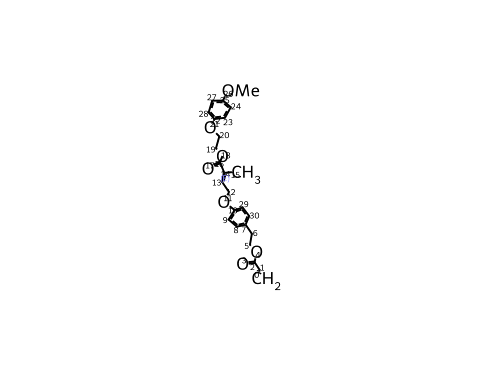 C=CC(=O)OCCc1ccc(OC/C=C(\C)C(=O)OCCOc2ccc(OC)cc2)cc1